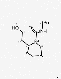 CC(C)(C)NC(=O)N1CCCCC1CCO